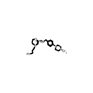 CC(C)CCCN1CCO[C@@H](CNCc2ccc(N3CCN(C)CC3)cc2)C1